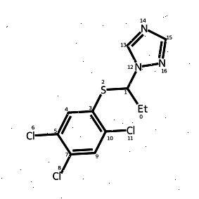 CCC(Sc1cc(Cl)c(Cl)cc1Cl)n1cncn1